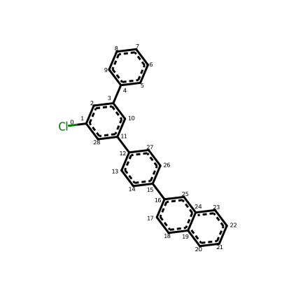 Clc1cc(-c2ccccc2)cc(-c2ccc(-c3ccc4ccccc4c3)cc2)c1